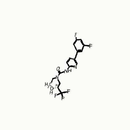 CCN(C[C@@H](O)C(F)(F)F)C(=O)Nc1ccc(-c2cc(F)cc(F)c2)cn1